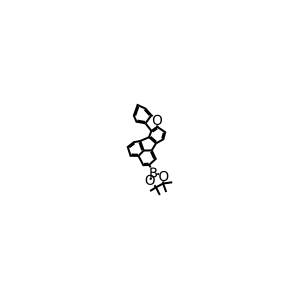 CC1(C)OB(c2cc3c4c(cccc4c2)-c2c-3ccc3oc4ccccc4c23)OC1(C)C